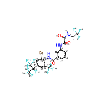 CN(CC(F)(F)F)C(=O)C(=O)Nc1cccc(C(=O)Nc2c(Br)cc(C(F)(C(F)(F)F)C(F)(F)F)cc2C(F)(F)F)c1